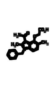 Cc1ccc2c(c1OCC(=O)O)c(C(N)=O)c(C)n2Cc1ccccc1